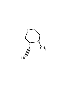 C#C[C@@H]1COCCN1C